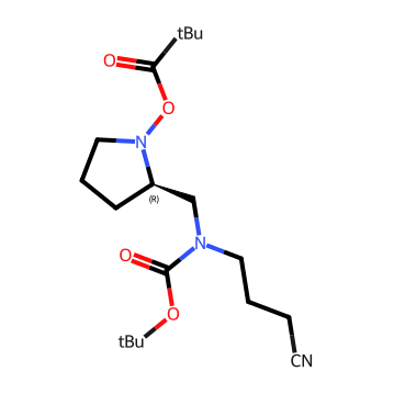 CC(C)(C)OC(=O)N(CCCC#N)C[C@H]1CCCN1OC(=O)C(C)(C)C